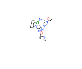 C=CC(=O)N1CCN(c2nc(OCC3(CN4CCC4)CC3)nc3c2CCN(c2cccc4cccc(Cl)c24)C3)CC1CC#N